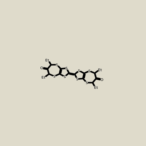 CCC1SC2=C(SC(=C3SC4=C(S3)SC(CC)C(=O)C(CC)S4)S2)SC(CC)C1=O